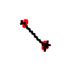 C=C(C)C(=O)OCCCCCCCCCCCCCC[Si](OCC)(OCC)OCC